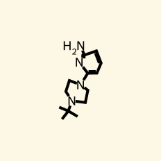 CC(C)(C)N1CCN(c2cccc(N)n2)CC1